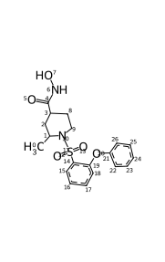 CC1CC(C(=O)NO)CCN1S(=O)(=O)c1ccccc1Oc1ccccc1